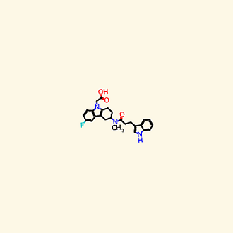 CN(C(=O)CCc1c[nH]c2ccccc12)C1CCc2c(c3cc(F)ccc3n2CC(=O)O)C1